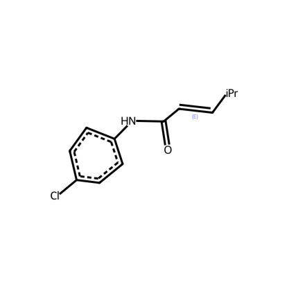 CC(C)/C=C/C(=O)Nc1ccc(Cl)cc1